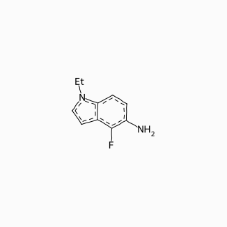 CCn1ccc2c(F)c(N)ccc21